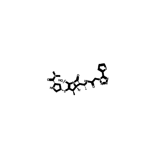 C[C@@H](NC(=O)Cn1nnnc1-c1cccs1)[C@H]1C(=O)N2C(C(=O)O)=C(S[C@@H]3CN[C@H](C(=O)N(C)C)C3)[C@H](C)[C@H]12